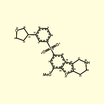 COc1cc(S(=O)(=O)c2cccc(C3CCOC3)c2)cc2c3c(oc12)CCNC3